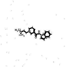 CN(C)CCN1CCC=C(C(=O)Nn2ccc3ccccc32)C1